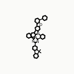 CC1(C)c2ccccc2-c2ccc(-c3nc(-c4ccccc4)nc(-c4ccccc4-n4c5ccccc5c5cc6c(cc54)oc4c(-c5ccccc5)cccc46)n3)cc21